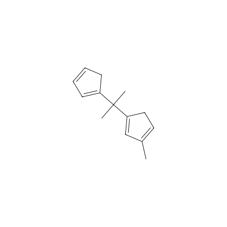 CC1=CCC(C(C)(C)C2=CC=CC2)=C1